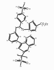 CCOC(=O)c1ccc(SC(Cc2cccc(-c3cc(C(C)(C)S(C)(=O)=O)cc4cccnc34)c2)c2ccc(S(C)(=O)=O)cc2)cc1